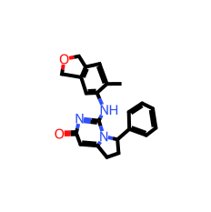 Cc1cc2c(cc1Nc1nc(=O)cc3n1C(c1ccccc1)CC3)COC2